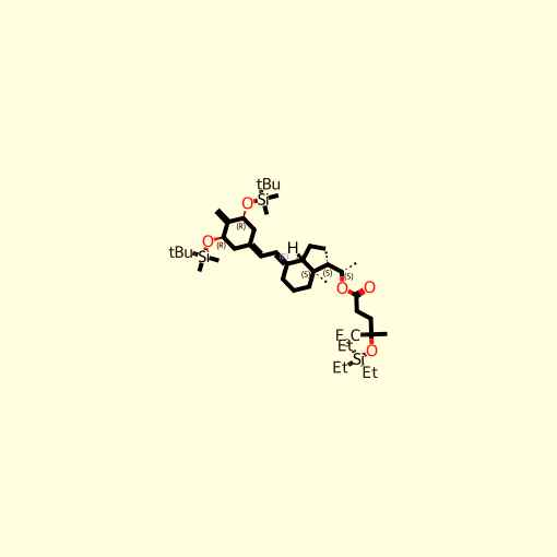 C=C1[C@H](O[Si](C)(C)C(C)(C)C)CC(=C/C=C2\CCC[C@]3(C)[C@@H]([C@H](C)OC(=O)CCC(C)(O[Si](CC)(CC)CC)C(F)(F)F)CC[C@@H]23)C[C@H]1O[Si](C)(C)C(C)(C)C